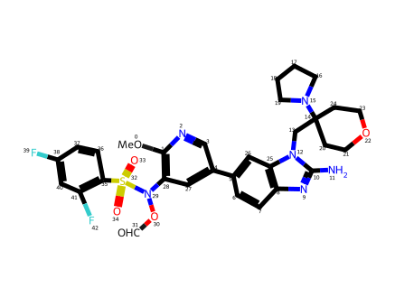 COc1ncc(-c2ccc3nc(N)n(CC4(N5CCCC5)CCOCC4)c3c2)cc1N(OC=O)S(=O)(=O)c1ccc(F)cc1F